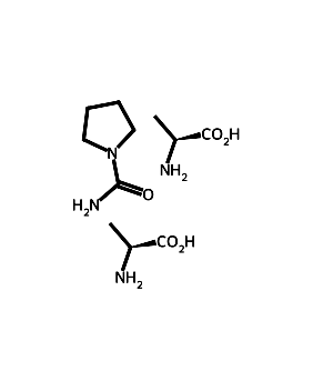 C[C@H](N)C(=O)O.C[C@H](N)C(=O)O.NC(=O)N1CCCC1